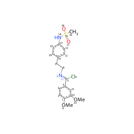 COc1ccc(/C(Cl)=N/CCc2ccc(NS(C)(=O)=O)cc2)cc1OC